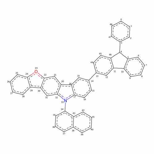 c1ccc(C2c3ccccc3-c3cc(-c4ccc5c(c4)c4cc6oc7ccccc7c6cc4n5-c4cccc5ccccc45)ccc32)cc1